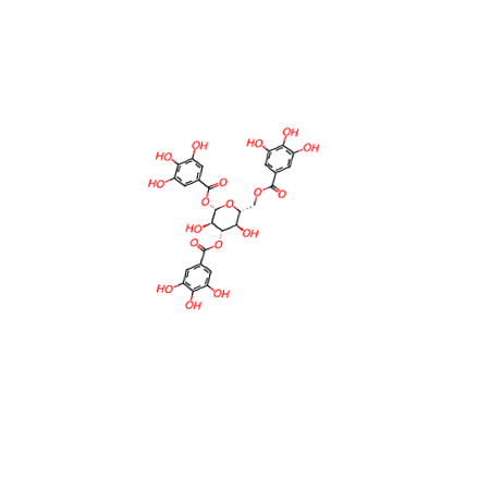 O=C(OC[C@H]1O[C@@H](OC(=O)c2cc(O)c(O)c(O)c2)[C@H](O)[C@@H](OC(=O)c2cc(O)c(O)c(O)c2)[C@@H]1O)c1cc(O)c(O)c(O)c1